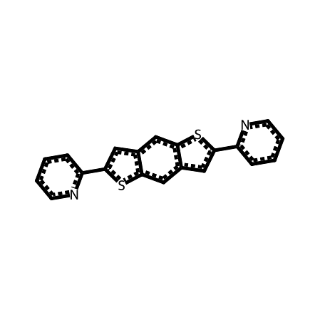 c1ccc(-c2cc3cc4sc(-c5ccccn5)cc4cc3s2)nc1